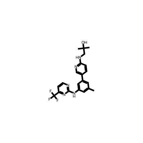 Cc1cc(Nc2nccc(C(F)(F)F)n2)cc(-c2ccc(NCC(C)(C)O)nc2)c1